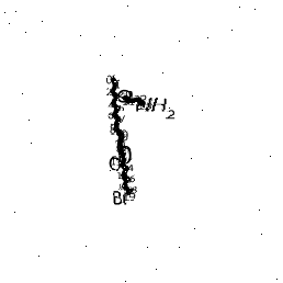 CCCC(CCCCCCCOC(=O)CCCCCBr)OCCN